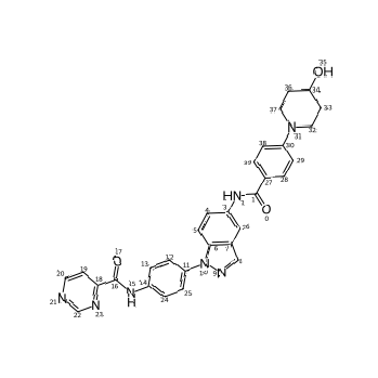 O=C(Nc1ccc2c(cnn2-c2ccc(NC(=O)c3ccncn3)cc2)c1)c1ccc(N2CCC(O)CC2)cc1